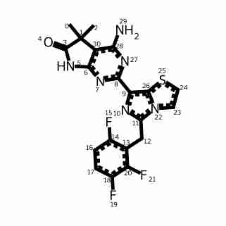 CC1(C)C(=O)Nc2nc(-c3nc(Cc4c(F)ccc(F)c4F)n4ccsc34)nc(N)c21